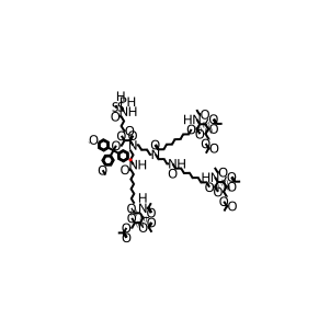 COc1ccc(C(OCC(OC(=O)CCC(=O)N[SH](=P)=S)C(=O)N(CCCCN(CCCNC(=O)CCCCCCCO[C@@H]2OC(COC(C)=O)[C@H](OC(C)=O)[C@H](C)C2NC(C)=O)C(=O)CCCCCCCO[C@@H]2OC(COC(C)=O)[C@H](OC(C)=O)[C@H](C)C2NC(C)=O)CCCNC(=O)CCCCCCCO[C@@H]2OC(COC(C)=O)[C@H](OC(C)=O)[C@H](C)C2NC(C)=O)(c2ccccc2)c2ccc(OC)cc2)cc1